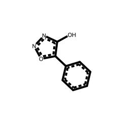 Oc1nnoc1-c1ccccc1